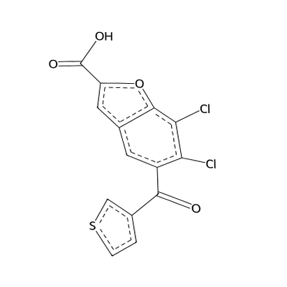 O=C(O)c1cc2cc(C(=O)c3ccsc3)c(Cl)c(Cl)c2o1